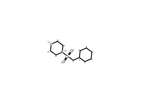 O=S(=O)(CC1CCCCC1)N1CCOCC1